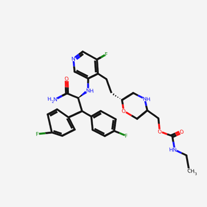 CCNC(=O)OCC1CO[C@H](CCc2c(F)cncc2N[C@H](C(N)=O)C(c2ccc(F)cc2)c2ccc(F)cc2)CN1